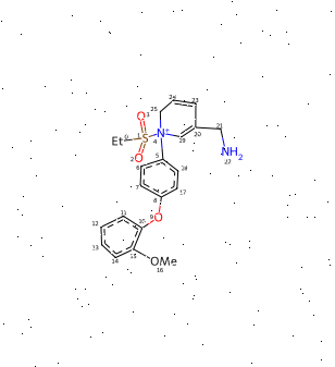 CCS(=O)(=O)[N+]1(c2ccc(Oc3ccccc3OC)cc2)C=C(CN)C=CC1